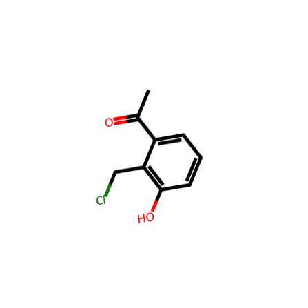 CC(=O)c1cccc(O)c1CCl